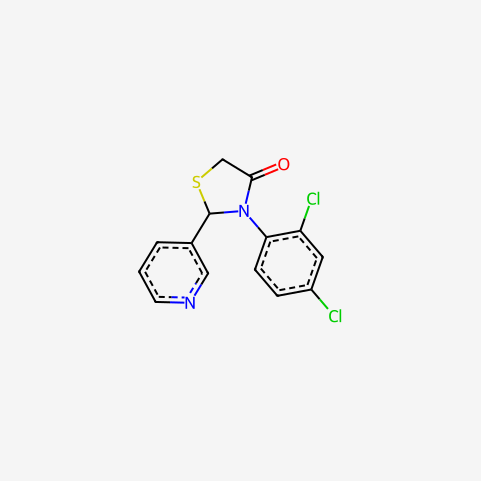 O=C1CSC(c2cccnc2)N1c1ccc(Cl)cc1Cl